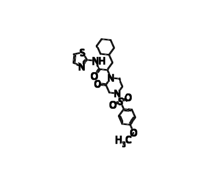 COc1ccc(S(=O)(=O)N2CCN(C(CC3CCCCC3)C(=O)Nc3nccs3)C(=O)C2)cc1